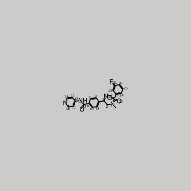 CN(CC(N)c1ccc(C(=O)Nc2ccncc2)cc1)S(=O)(=O)c1cccc(F)c1